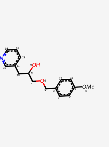 COc1ccc(COCC(O)Cc2cccnc2)cc1